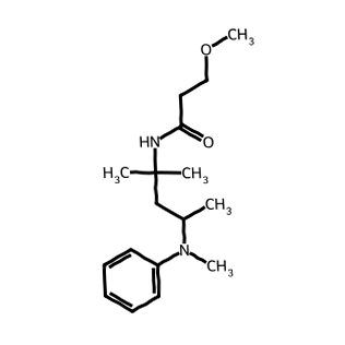 COCCC(=O)NC(C)(C)CC(C)N(C)c1ccccc1